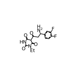 CCN1C(=O)NC(=O)C(C(=O)C[C@@H](N)c2ccc(F)c(F)c2)C1=O